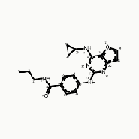 CCCNC(=O)c1ccc(Nc2nc(NC3CC3)c3occc3n2)cc1